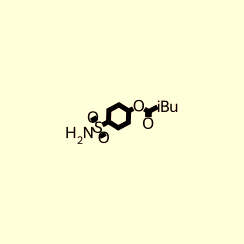 CCC(C)C(=O)OC1CCC(S(N)(=O)=O)CC1